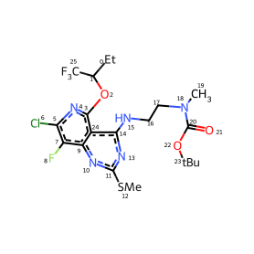 CCC(Oc1nc(Cl)c(F)c2nc(SC)nc(NCCN(C)C(=O)OC(C)(C)C)c12)C(F)(F)F